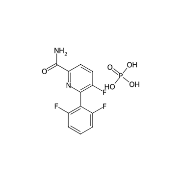 NC(=O)c1ccc(F)c(-c2c(F)cccc2F)n1.O=P(O)(O)O